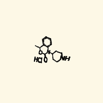 CC1OC(=O)N(C2CCNCC2)c2ccccc21.Cl